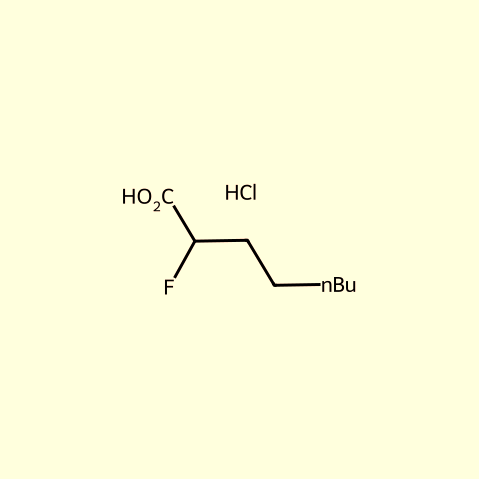 CCCCCCC(F)C(=O)O.Cl